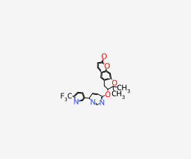 CC1(C)Oc2cc3oc(=O)ccc3cc2CC1OC1=NC=NC(c2ccc(C(F)(F)F)nc2)C=C1